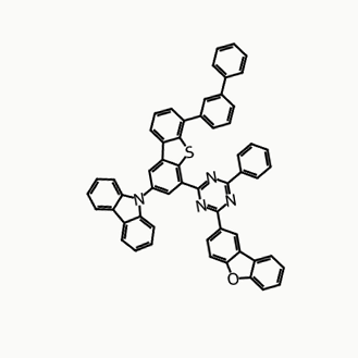 c1ccc(-c2cccc(-c3cccc4c3sc3c(-c5nc(-c6ccccc6)nc(-c6ccc7oc8ccccc8c7c6)n5)cc(-n5c6ccccc6c6ccccc65)cc34)c2)cc1